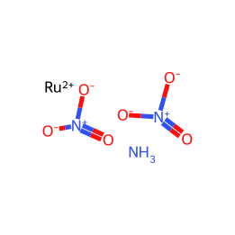 N.O=[N+]([O-])[O-].O=[N+]([O-])[O-].[Ru+2]